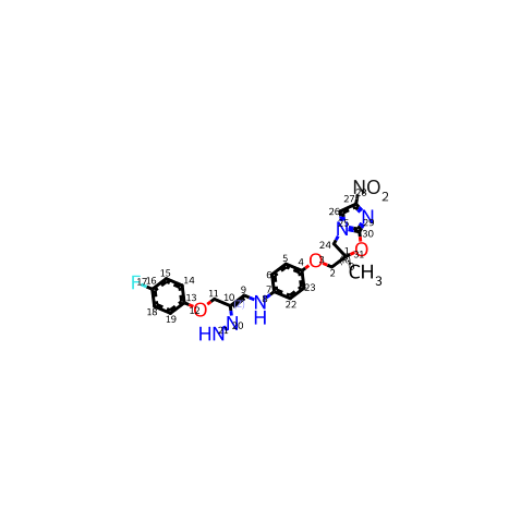 C[C@]1(COc2ccc(N/C=C(/COc3ccc(F)cc3)N=N)cc2)Cn2cc([N+](=O)[O-])nc2O1